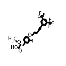 CCO[C@@H](Cc1ccc(OC/C=C/C#Cc2cc(C(F)(F)F)cc(C(F)(F)F)c2)c(I)c1)C(=O)O